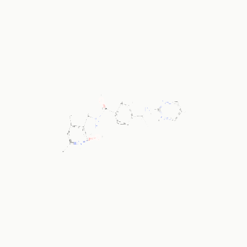 Cc1cc(C)c(CNC(=O)c2ccc(C(C)Nc3ncccn3)cc2)c(=O)[nH]1